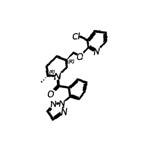 C[C@@H]1CC[C@@H](COc2ncccc2Cl)CN1C(=O)c1ccccc1-n1nccn1